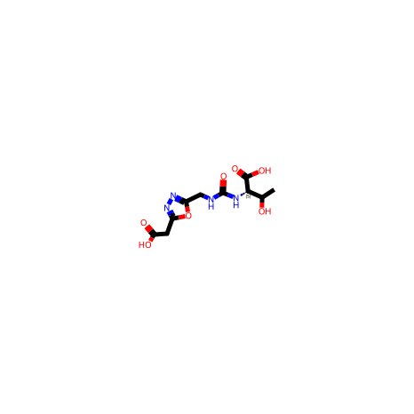 CC(O)[C@H](NC(=O)NCc1nnc(CC(=O)O)o1)C(=O)O